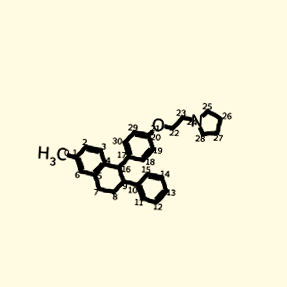 Cc1ccc2c(c1)CCC(c1ccccc1)C2c1ccc(OCCN2CCCC2)cc1